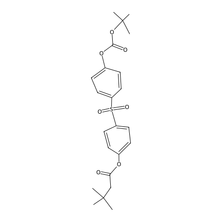 CC(C)(C)CC(=O)Oc1ccc(S(=O)(=O)c2ccc(OC(=O)OC(C)(C)C)cc2)cc1